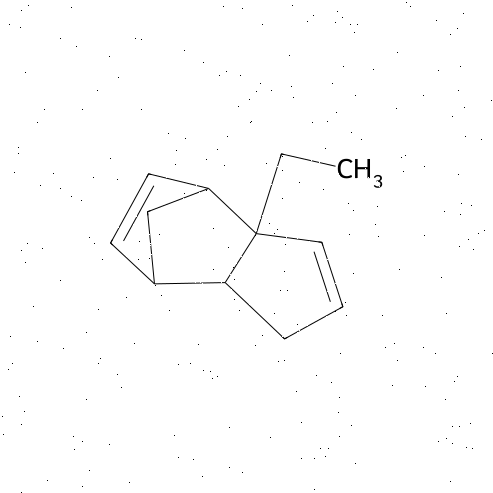 CCC12C=CCC1C1C=CC2C1